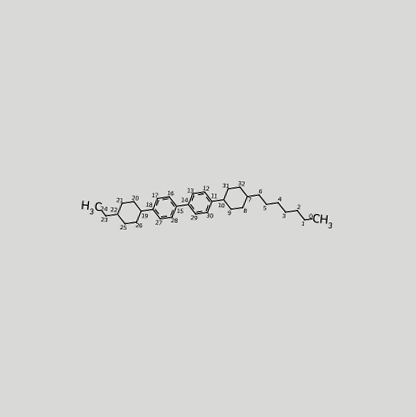 CCCCCCCC1CCC(c2ccc(-c3ccc(C4CCC(CC)CC4)cc3)cc2)CC1